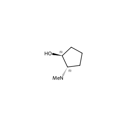 CN[C@H]1CCC[C@@H]1O